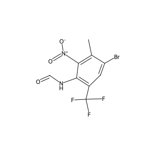 Cc1c(Br)cc(C(F)(F)F)c(NC=O)c1[N+](=O)[O-]